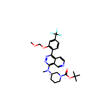 COCOc1cc(C(F)(F)F)ccc1-c1nnc(N(C)[C@@H]2CCCN(C(=O)OC(C)(C)C)C2)c2cnccc12